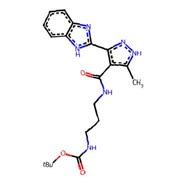 Cc1[nH]nc(-c2nc3ccccc3[nH]2)c1C(=O)NCCCNC(=O)OC(C)(C)C